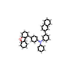 c1ccc(N(c2ccc(-c3cccc4oc5ccccc5c34)cc2)c2cccc(-c3ccc4ccccc4c3)c2)cc1